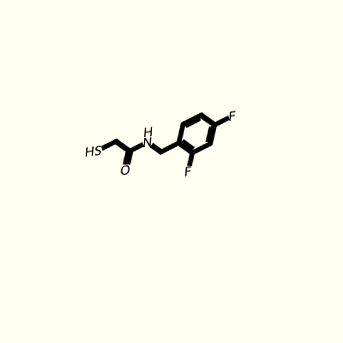 O=C(CS)NCc1ccc(F)cc1F